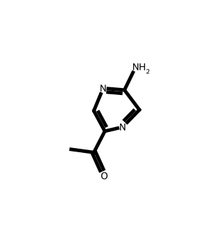 CC(=O)c1cnc(N)cn1